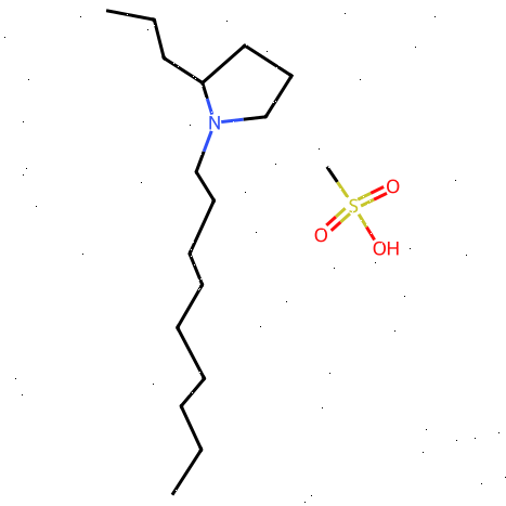 CCCCCCCCCN1CCCC1CCC.CS(=O)(=O)O